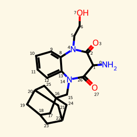 NC1C(=O)N(CCO)c2ccccc2N(CC23CC4CC(CC(C4)C2)C3)C1=O